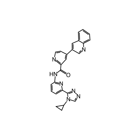 O=C(Nc1cccc(-c2nncn2C2CC2)n1)c1cc(-c2cnc3ccccc3c2)ccn1